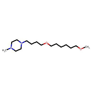 COCCCCCCOCCCCN1CCN(C)CC1